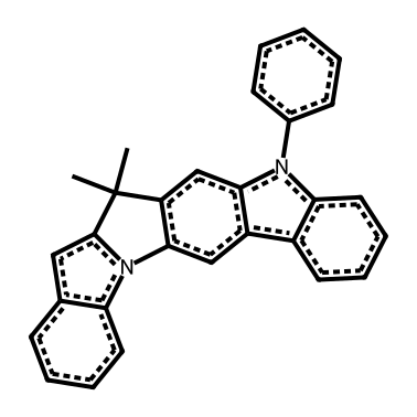 CC1(C)c2cc3c(cc2-n2c1cc1ccccc12)c1ccccc1n3-c1ccccc1